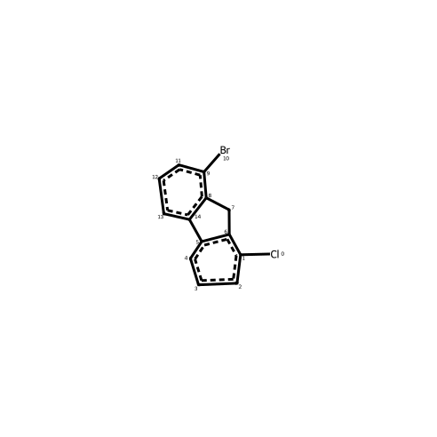 Clc1cccc2c1Cc1c(Br)cccc1-2